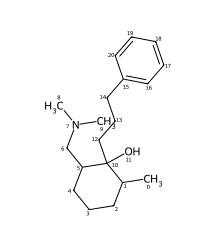 CC1CCCC(CN(C)C)C1(O)CCCc1ccccc1